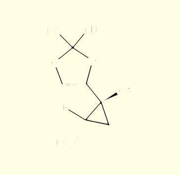 CC(=O)O[C@@]1([C@@H]2COC(C)(C)O2)C[C@]1(F)C(=O)O